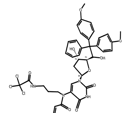 C=CC(=O)N(CCCNC(=O)C(Cl)(Cl)Cl)c1cn([C@H]2C[C@H](O)[C@@H](C(O)C(c3ccccc3)(c3ccc(OC)cc3)c3ccc(OC)cc3)O2)c(=O)[nH]c1=O